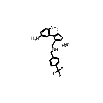 Cl.Cl.Nc1ccc(N)c(-c2cscc2CNCc2ccc(C(F)(F)F)cc2)c1